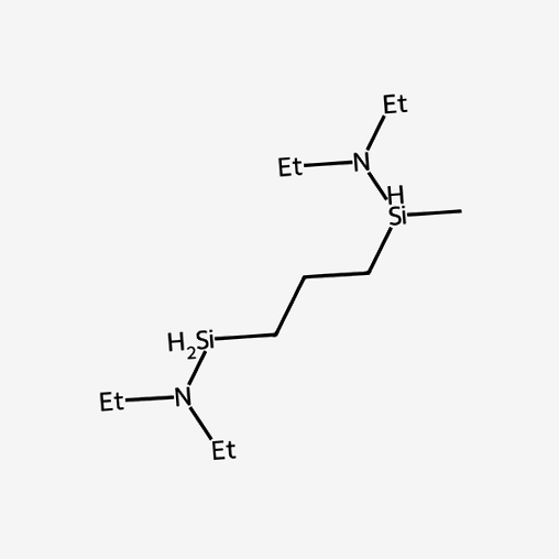 CCN(CC)[SiH2]CCC[SiH](C)N(CC)CC